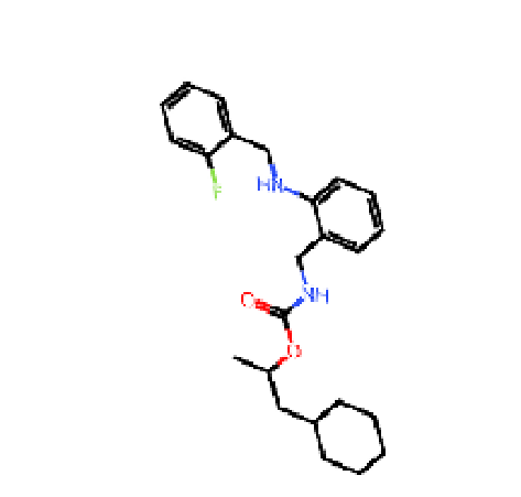 CC(CC1CCCCC1)OC(=O)NCc1ccccc1NCc1ccccc1F